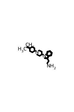 CC(C)=C1CCC(N2CCC(n3cc(CCN)c4ccccc43)CC2)CC1